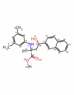 Cc1cc(C)cc(NC(C[C@@H](O)c2ccc3ccccc3c2)(C(=O)OC(C)C)C(C)C)c1